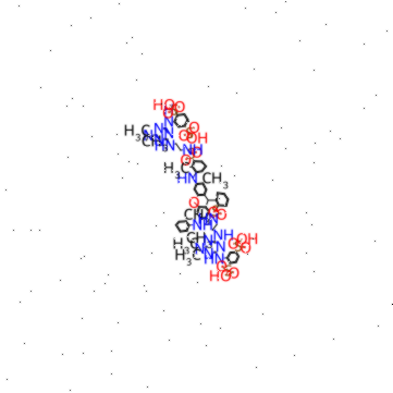 Cc1cccc(C)c1Nc1ccc2c(c1)Oc1cc(Nc3c(C)ccc(S(=O)(=O)NCCNc4nc(Nc5cc(S(=O)(=O)O)ccc5S(=O)(=O)O)nc(N(C)C)n4)c3C)ccc1C2c1ccccc1S(=O)(=O)NCCNc1nc(Nc2cc(S(=O)(=O)O)ccc2S(=O)(=O)O)nc(N(C)C)n1